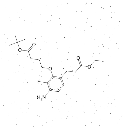 CCOC(=O)CCc1ccc(N)c(F)c1OCCCC(=O)OC(C)(C)C